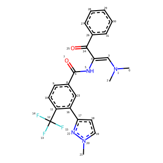 CN(C)C=C(NC(=O)c1ccc(C(F)(F)F)c(-c2ccn(C)n2)c1)C(=O)c1ccccc1